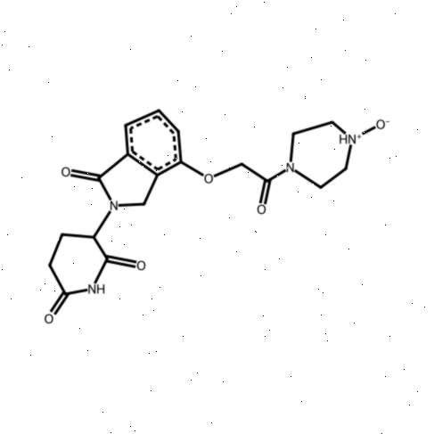 O=C1CCC(N2Cc3c(OCC(=O)N4CC[NH+]([O-])CC4)cccc3C2=O)C(=O)N1